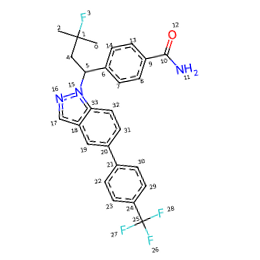 CC(C)(F)CC(c1ccc(C(N)=O)cc1)n1ncc2cc(-c3ccc(C(F)(F)F)cc3)ccc21